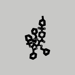 Cc1ccc(S(=O)(=O)N2CCN(C(=O)[C@H](OCc3ccccc3)[C@@H](OCc3ccccc3)[C@H](OCc3ccccc3)[C@]3(COCc4ccccc4)OC(C)(C)O[C@@H]3C)CC2)cc1